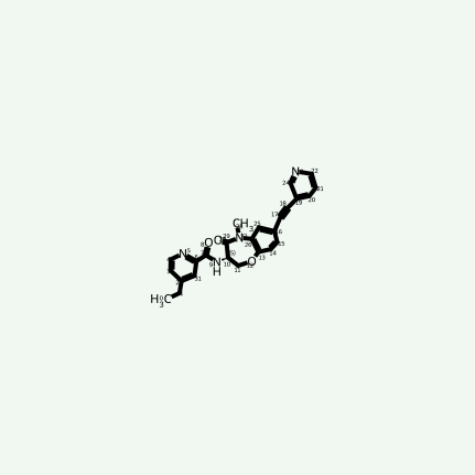 CCc1ccnc(C(=O)N[C@H]2COc3ccc(C#Cc4cccnc4)cc3N(C)C2=O)c1